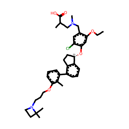 CCOc1cc(O[C@H]2CCc3c(-c4cccc(OCCCN5CCC5(C)C)c4C)cccc32)c(Cl)cc1CN(C)CC(C)C(=O)O